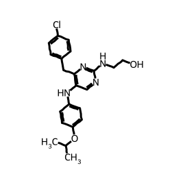 CC(C)Oc1ccc(Nc2cnc(NCCO)nc2Cc2ccc(Cl)cc2)cc1